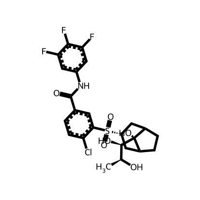 C[C@H](O)[C@@H](O)[C@]1(O)C2CCC1C[C@@H](S(=O)(=O)c1cc(C(=O)Nc3cc(F)c(F)c(F)c3)ccc1Cl)C2